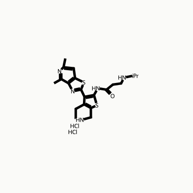 Cc1cc2sc(-c3c(NC(=O)CCNC(C)C)sc4c3CCNC4)nc2c(C)n1.Cl.Cl